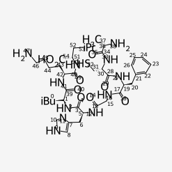 CC[C@H](C)[C@H](NC(=O)[C@H](Cc1c[nH]cn1)NC(=O)CNC(=O)[C@H](Cc1ccccc1)NC(=O)[C@H](CS)NC(=O)[C@H](C)N)C(=O)N[C@@H](CCCCN)C(=O)N[C@@H](CC(C)C)C(=O)O